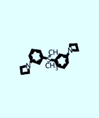 CS(C)(c1cccc(N2CCC2)c1)c1cccc(N2CCC2)c1